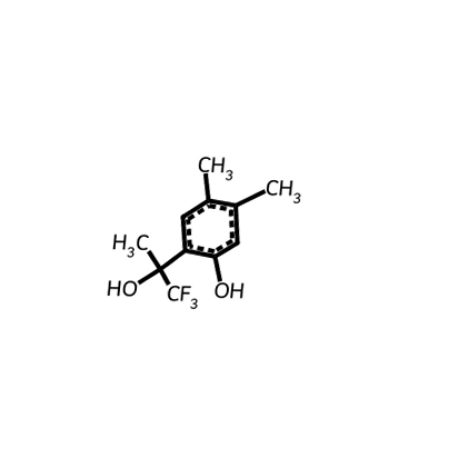 Cc1cc(O)c(C(C)(O)C(F)(F)F)cc1C